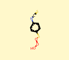 OOOSc1ccc(N=C=S)cc1